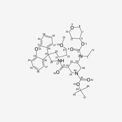 CCN(C(=O)OC1CCOCC1)C1CC(C(=O)NCC2(CCCCOC)c3ccccc3Oc3ccccc32)CN(C(=O)OC(C)(C)C)C1